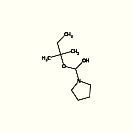 CCC(C)(C)OC(O)N1CCCC1